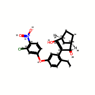 CCc1ccc(Oc2ccc([N+](=O)[O-])c(Cl)c2)cc1C1=C(O)[C@H]2CC[C@H](C2)C1=O